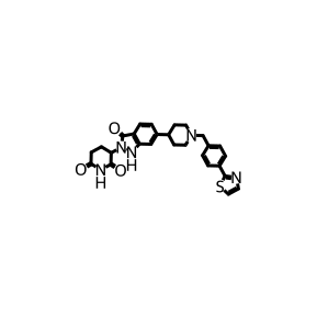 O=C1CCC(n2[nH]c3cc(C4CCN(Cc5ccc(-c6nccs6)cc5)CC4)ccc3c2=O)C(=O)N1